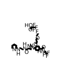 O=C(NCC(F)(F)F)c1ccc(-n2cc(C(=O)NCCNc3ccccn3)nn2)c(OCCOCCF)c1.O=C(O)C(F)(F)F